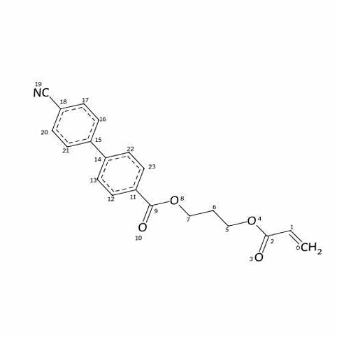 C=CC(=O)OCCCOC(=O)c1ccc(-c2ccc(C#N)cc2)cc1